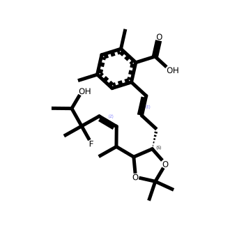 Cc1cc(C)c(C(=O)O)c(/C=C/C[C@@H]2OC(C)(C)OC2C(C)/C=C\C(C)(F)C(C)O)c1